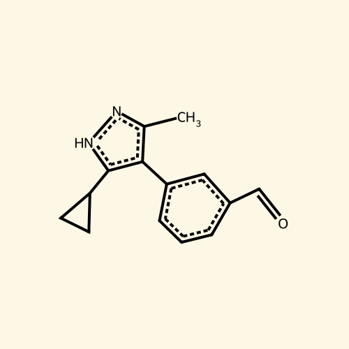 Cc1n[nH]c(C2CC2)c1-c1cccc(C=O)c1